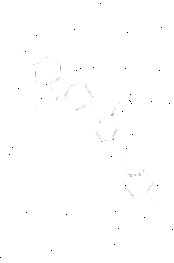 CN1CCc2c(n(C)c3cc(-n4ccc(OCc5ccc(Cl)cn5)cc4=O)ccc23)C1